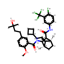 COc1ccc(CCC(C)(C)O)cc1C(=O)NC1C(C(=O)Nc2ccc(F)c(C(F)(F)F)c2)[C@H]2CC[C@@H]1/C2=C\CC1CCC1